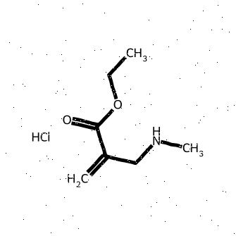 C=C(CNC)C(=O)OCC.Cl